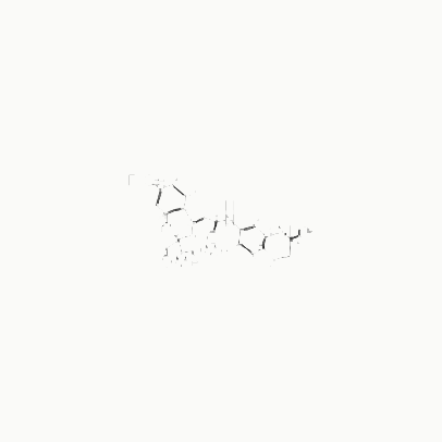 COCC1(COC)C/C(=C\C(=O)Nc2ccc3c(c2)NC(=O)CC3)c2ccc(C(F)(F)F)cc2O1